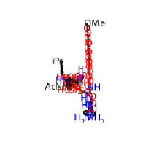 COCCOCCOCCOCCOCCOCCOCCOCCOCCOCCOCCOCCOCCC(=O)NCCCC[C@H](NC(=O)CCCSSCCC(=O)OC[C@H]1O[C@H](O[C@@H]2O[C@H](C[C@@H](O)[C@H]3O[C@@H](n4ccc(=O)[nH]c4=O)[C@H](O)[C@@H]3O)[C@H](O)[C@H](O)[C@H]2NC(=O)/C=C\CCCCCCCCCC(C)C)[C@H](NC(C)=O)[C@@H](O)[C@@H]1O)C(=O)NCCC(=O)NCCC(=O)N1Cc2ccccc2/C(N)=C(/N)c2ccccc21